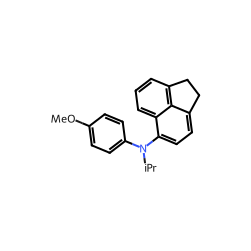 COc1ccc(N(c2ccc3c4c(cccc24)CC3)C(C)C)cc1